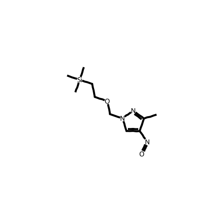 Cc1nn(COCC[Si](C)(C)C)cc1N=O